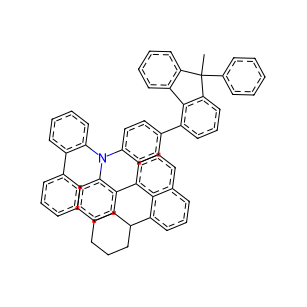 CC1(c2ccccc2)c2ccccc2-c2c(-c3ccc(N(c4ccccc4-c4ccccc4)c4ccccc4-c4cccc5cccc(C6CCCCC6)c45)cc3)cccc21